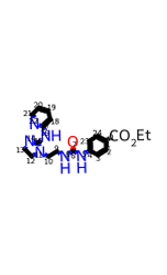 CCOC(=O)c1ccc(NC(=O)NCCN2CCN=C2Nc2ccccn2)cc1